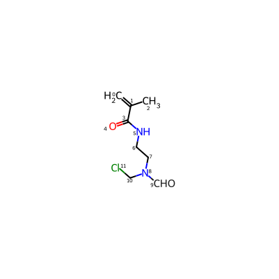 C=C(C)C(=O)NCCN(C=O)CCl